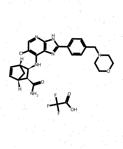 NC(=O)[C@@H]1[C@H](Nc2c(Cl)cnc3[nH]c(-c4ccc(CN5CCOCC5)cc4)nc23)[C@H]2C=C[C@@H]1C2.O=C(O)C(F)(F)F